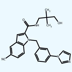 CC(C)(CO)CNC(=O)c1cc2cc(C#N)ccc2n1Cc1cccc(-n2ccnc2)c1